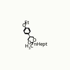 CCCCCCC[C@]1(C)OC[C@@H](c2ccc(OCC)cc2)CO1